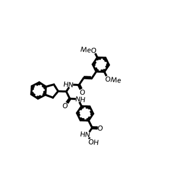 COc1ccc(OC)c(/C=C/C(=O)NC(C(=O)Nc2ccc(C(=O)NO)cc2)C2Cc3ccccc3C2)c1